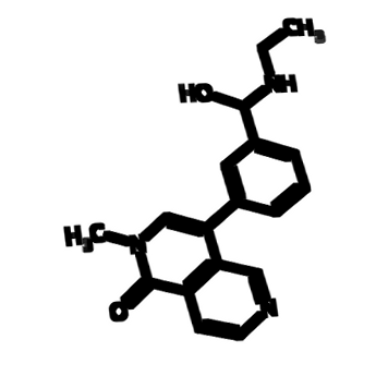 CCNC(O)c1cccc(-c2cn(C)c(=O)c3ccncc23)c1